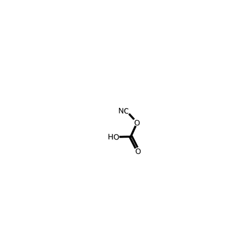 N#COC(=O)O